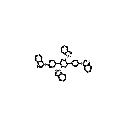 c1ccc2c(c1)cnn2-c1cc(-c2ccc(-n3cnc4ccccc43)cc2)c(-n2ncc3ccccc32)cc1-c1ccc(-n2cnc3ccccc32)cc1